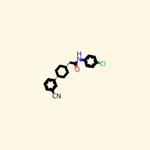 N#Cc1cccc([C@H]2CC[C@@H](CC(=O)Nc3ccc(Cl)cc3)CC2)c1